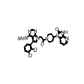 CNc1ncnc2c1c(-c1cccc(Cl)c1Cl)cn2CC(=O)N1CCC(n2c(=O)[nH]c3ncccc32)CC1